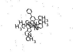 Cc1ccc2c3c(C)coc(-c4nc5ccccc5n4-c4c(C(C)C)cc(-c5ccccc5)cc4C(C)C)c-3cc2n1